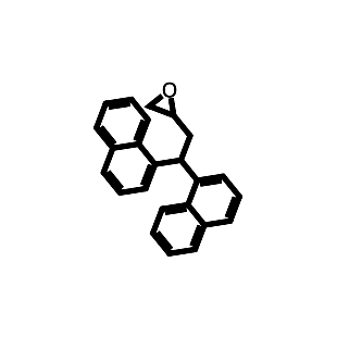 c1ccc2c(C(CC3CO3)c3cccc4ccccc34)cccc2c1